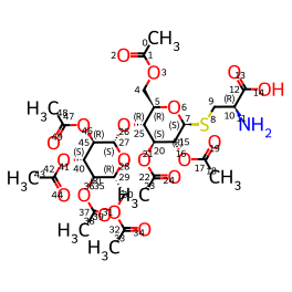 CC(=O)OC[C@H]1O[C@@H](SC[C@H](N)C(=O)O)[C@H](OC(C)=O)[C@@H](OC(C)=O)[C@@H]1O[C@@H]1O[C@H](COC(C)=O)[C@@H](OC(C)=O)[C@H](OC(C)=O)[C@H]1OC(C)=O